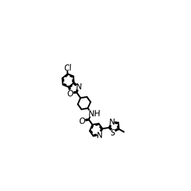 Cc1cnc(-c2cc(C(=O)NC3CCC(c4nc5cc(Cl)ccc5o4)CC3)ccn2)s1